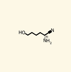 N#C[C@H](N)CCCCO